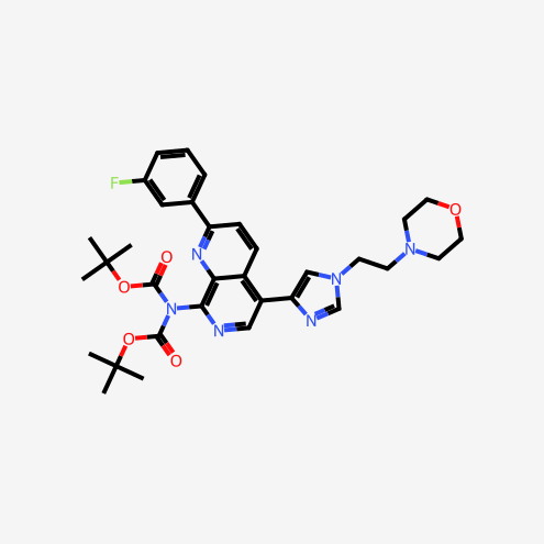 CC(C)(C)OC(=O)N(C(=O)OC(C)(C)C)c1ncc(-c2cn(CCN3CCOCC3)cn2)c2ccc(-c3cccc(F)c3)nc12